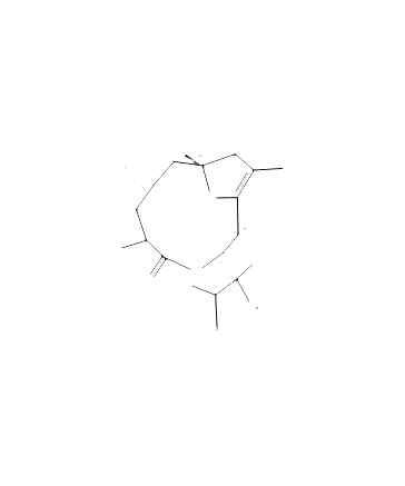 CCC(O)C(C)(O)[C@@H]1OC(=O)C(C)C[C@H](C)C[C@]2(C)CC(C)=C(O2)[C@@H]1C